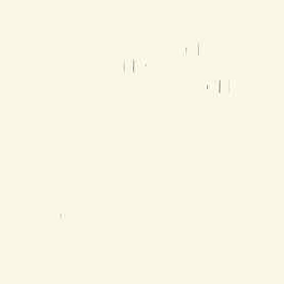 CC(C)(C)C#CC=CCCl